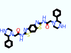 O=C(CN1CCNCC1c1ccccc1)Nc1nc2cc3nc(NC(=O)CN4CCNCC4c4ccccc4)sc3cc2s1